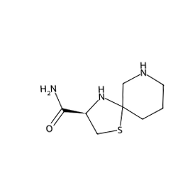 NC(=O)[C@@H]1CSC2(CCCNC2)N1